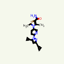 CC1=C(C(N)=O)SC(C)N1c1ccc(-n2nc(C3CC3)cc2C2CC2)nc1